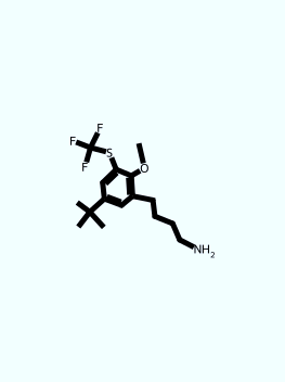 COc1c(CCCCN)cc(C(C)(C)C)cc1SC(F)(F)F